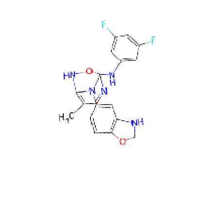 CC1=C2NOC(Nc3cc(F)cc(F)c3)(N=C1)N2c1ccc2c(c1)NCO2